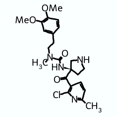 COc1ccc(CCN(C)C(=O)N[C@]2(C(=O)c3ccc(C)nc3Cl)CCNC2)cc1OC